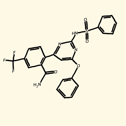 NC(=O)c1cc(C(F)(F)F)ccc1-c1cc(Oc2ccccc2)nc(NS(=O)(=O)c2ccccc2)n1